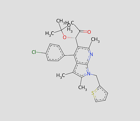 CC(=O)[C@@H](OC(C)(C)C)c1c(C)nc2c(c(C)c(C)n2Cc2cccs2)c1-c1ccc(Cl)cc1